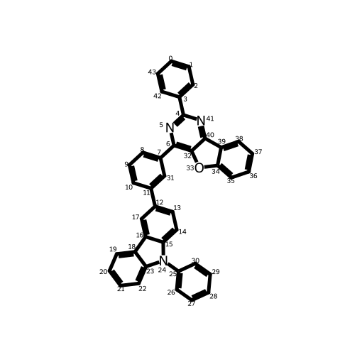 c1ccc(-c2nc(-c3cccc(-c4ccc5c(c4)c4ccccc4n5-c4ccccc4)c3)c3oc4ccccc4c3n2)cc1